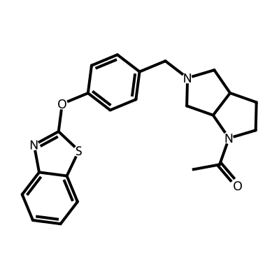 CC(=O)N1CCC2CN(Cc3ccc(Oc4nc5ccccc5s4)cc3)CC21